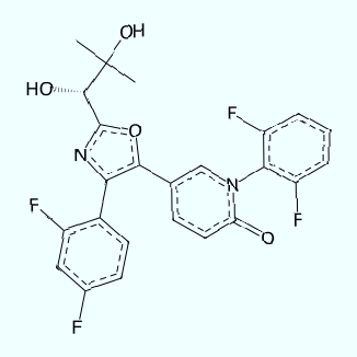 CC(C)(O)[C@@H](O)c1nc(-c2ccc(F)cc2F)c(-c2ccc(=O)n(-c3c(F)cccc3F)c2)o1